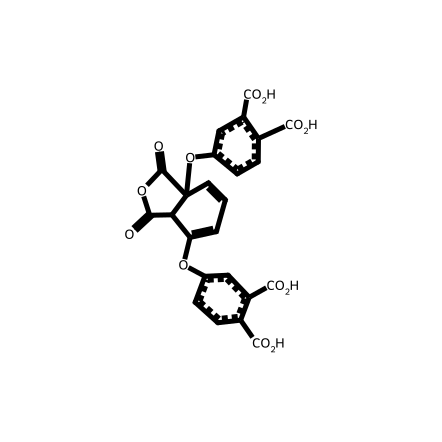 O=C(O)c1ccc(OC2=CC=CC3(Oc4ccc(C(=O)O)c(C(=O)O)c4)C(=O)OC(=O)C23)cc1C(=O)O